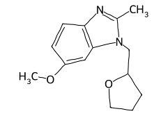 COc1ccc2nc(C)n(CC3CCCO3)c2c1